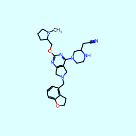 CN1CCCC1COc1nc2c(c(N3CCNC(CC#N)C3)n1)CN(Cc1cccc3c1CCO3)C2